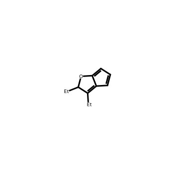 CC[C]1OC2=CC=CC2=C1CC